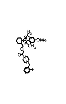 COc1cc(C)c(S(=O)(=O)N2CCCCC2COCC(=O)N2CCN(Cc3ccccc3F)CC2)c(C)c1